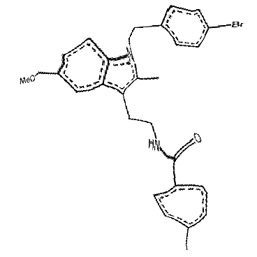 COc1ccc2c(c1)c(CCNC(=O)c1ccc(C)cc1)c(C)n2Cc1ccc(Br)cc1